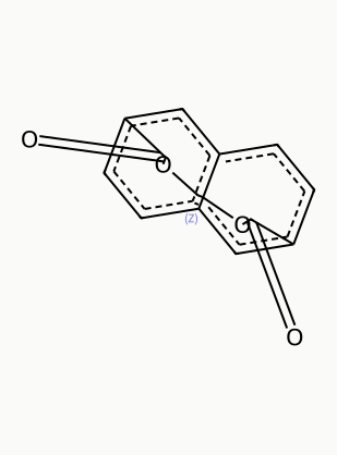 O=C1O/C=C\OC(=O)c2ccc3cc1ccc3c2